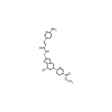 COC(=O)c1ccc(-c2cc(Cl)c3oc(CNC(=O)/C=C/c4ccc(N)nc4)cc3c2)nc1